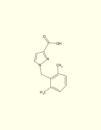 Cc1cccc(C)c1Cn1ccc(C(=O)O)n1